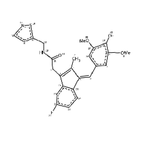 COc1cc(C=C2C(C)=C(CC(=O)NCc3ccns3)c3cc(F)ccc32)cc(OC)c1O